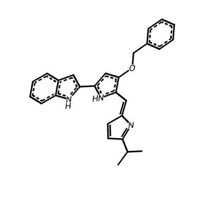 CC(C)C1=NC(=Cc2[nH]c(-c3cc4ccccc4[nH]3)cc2OCc2ccccc2)C=C1